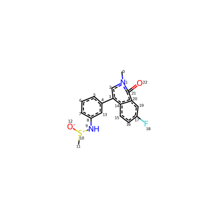 Cn1cc(-c2cccc(N[S+](C)[O-])c2)c2ccc(F)cc2c1=O